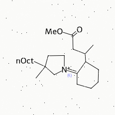 CCCCCCCCC1(C)CC/[N+](=C2/CCCCC2C(C)CC(=O)OC)C1